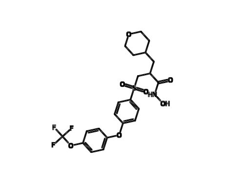 O=C(NO)C(CC1CCOCC1)CS(=O)(=O)c1ccc(Oc2ccc(OC(F)(F)F)cc2)cc1